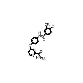 CCNC(=O)c1nccc(Oc2ccc(N[S+]([O-])c3ccc(Cl)c(C(F)(F)F)c3)cc2)n1